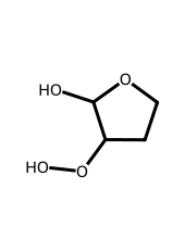 OOC1CCOC1O